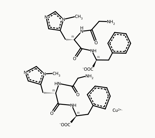 Cn1cncc1C[C@H](NC(=O)CN)C(=O)N[C@@H](Cc1ccccc1)C(=O)[O-].Cn1cncc1C[C@H](NC(=O)CN)C(=O)N[C@@H](Cc1ccccc1)C(=O)[O-].[Cu+2]